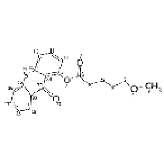 COCCCCC(=O)Oc1cccc2sc3ccccc3c(=O)c12